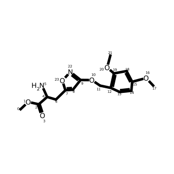 COC(=O)C(N)Cc1cc(OCc2ccc(OC)cc2OC)no1